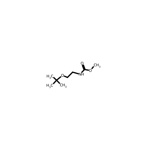 COC(=O)NCCOC(C)(C)C